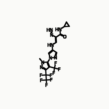 Cn1nc(C(F)(F)C(F)(F)F)c(C(F)(F)F)c1-n1cc(N/C=C(\N=N)C(=O)NC2CC2)cn1